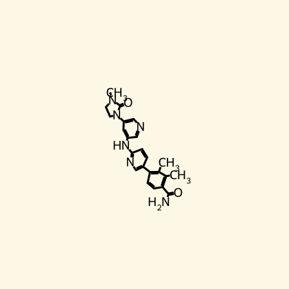 Cc1c(C(N)=O)ccc(-c2ccc(Nc3cncc(N4CCN(C)C4=O)c3)nc2)c1C